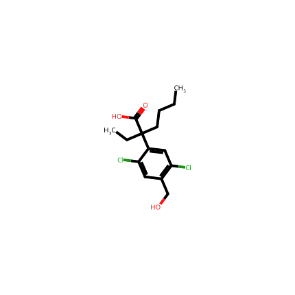 CCCCC(CC)(C(=O)O)c1cc(Cl)c(CO)cc1Cl